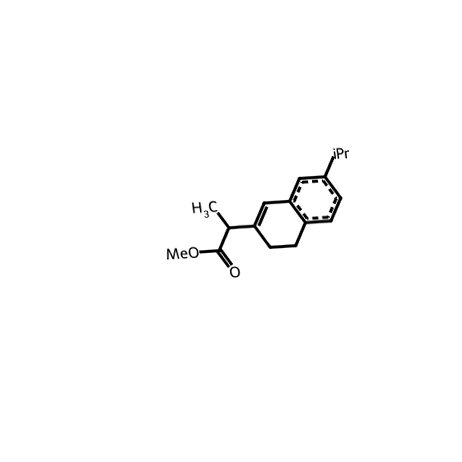 COC(=O)C(C)C1=Cc2cc(C(C)C)ccc2CC1